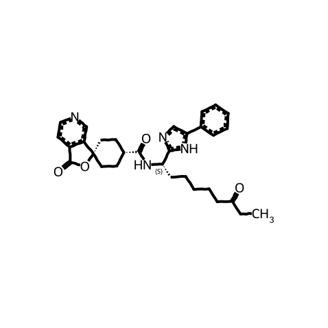 CCC(=O)CCCCC[C@H](NC(=O)[C@H]1CC[C@]2(CC1)OC(=O)c1ccncc12)c1ncc(-c2ccccc2)[nH]1